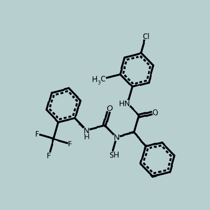 Cc1cc(Cl)ccc1NC(=O)C(c1ccccc1)N(S)C(=O)Nc1ccccc1C(F)(F)F